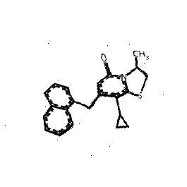 CC1CSc2c(C3CC3)c(Cc3cccc4ccccc34)cc(=O)n21